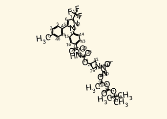 Cc1ccc(-c2cc(C(F)(F)F)nn2-c2ccc(S(=O)(=O)NC(=O)OC3CN(/[N+]([O-])=N\OC(C)OC(=O)OC(C)(C)C)C3)cc2)cc1